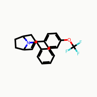 FC(F)(F)Oc1ccc(C2=CC3CCC(C2)N3Cc2ccccc2)cc1